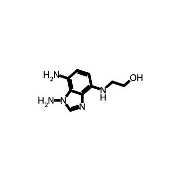 Nc1ccc(NCCO)c2ncn(N)c12